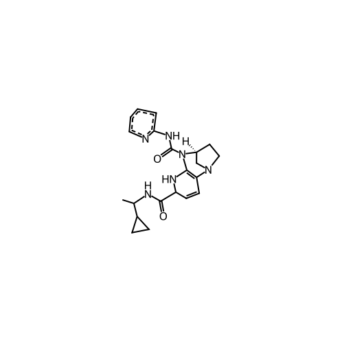 CC(NC(=O)C1C=CC2=C(N1)N(C(=O)Nc1ccccn1)[C@H]1CCN2C1)C1CC1